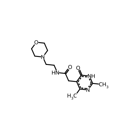 Cc1nc(C)c(CC(=O)NCCN2CCOCC2)c(=O)[nH]1